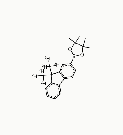 [2H]C([2H])([2H])C1(C([2H])([2H])[2H])c2ccccc2-c2ccc(B3OC(C)(C)C(C)(C)O3)cc21